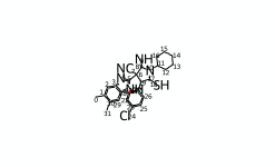 Cc1cc2nc(C3(C#N)C(=N)N(C4CCCCC4)C(S)C3c3ccc(Cl)cc3)[nH]c2cc1C